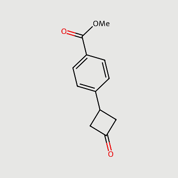 COC(=O)c1ccc(C2CC(=O)C2)cc1